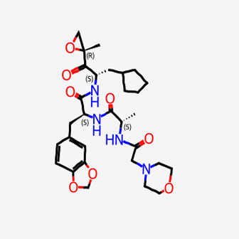 C[C@H](NC(=O)CN1CCOCC1)C(=O)N[C@@H](Cc1ccc2c(c1)OCO2)C(=O)N[C@@H](CC1CCCC1)C(=O)[C@@]1(C)CO1